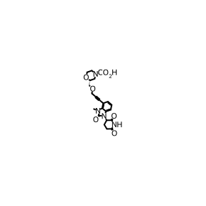 Cn1c(=O)n(C2CCC(=O)NC2=O)c2cccc(C#CCOC[C@H]3CN(C(=O)O)CCO3)c21